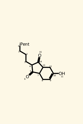 CCCC(C)CCCC1C(=O)C2CC=C(O)CC2C1=O